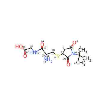 CC(C)(C)N1C(=O)CC(SC[C@@H](N)C(=O)NCC(=O)O)C1=O